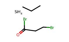 CCC.O=C(Br)CCBr.[SiH4]